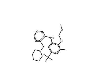 COCOc1c(C)cc(C(C)(C)C)cc1Pc1ccccc1CN1CCCCC1